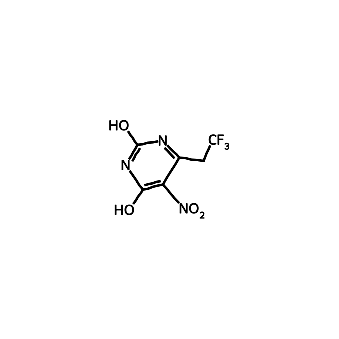 O=[N+]([O-])c1c(O)nc(O)nc1CC(F)(F)F